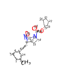 Cc1cccc(C#CC2=NOC3C2CCN3C(=O)OC2CCCC2)c1